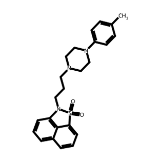 Cc1ccc(N2CCN(CCCN3c4cccc5cccc(c45)S3(=O)=O)CC2)cc1